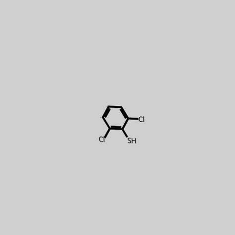 Sc1c(Cl)[c]ccc1Cl